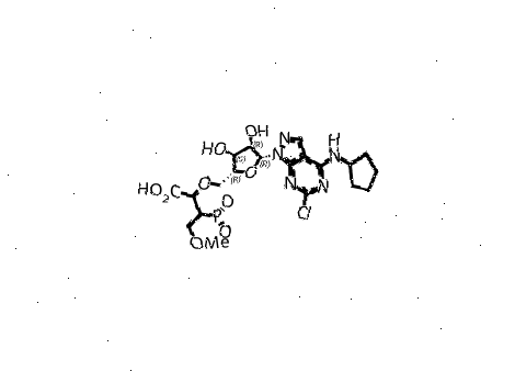 COCC(C(OC[C@H]1O[C@@H](n2ncc3c(NC4CCCC4)nc(Cl)nc32)[C@H](O)[C@@H]1O)C(=O)O)P(=O)=O